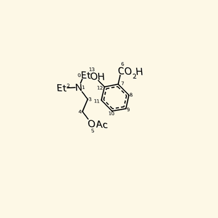 CCN(CC)CCOC(C)=O.O=C(O)c1ccccc1O